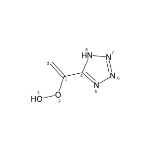 C=C(OO)c1nnn[nH]1